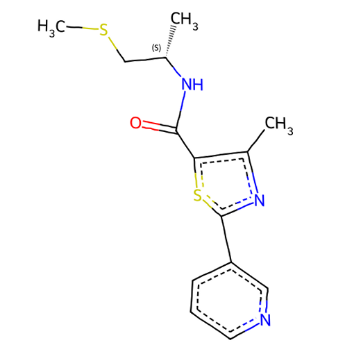 CSC[C@H](C)NC(=O)c1sc(-c2cccnc2)nc1C